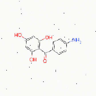 Nc1ccc(C(=O)c2c(O)cc(O)cc2O)cc1